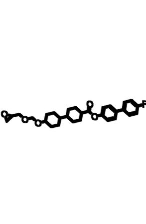 O=C(Oc1ccc(-c2ccc(F)cc2)cc1)C1CCC(C2CCC(OCOCC3CO3)CC2)CC1